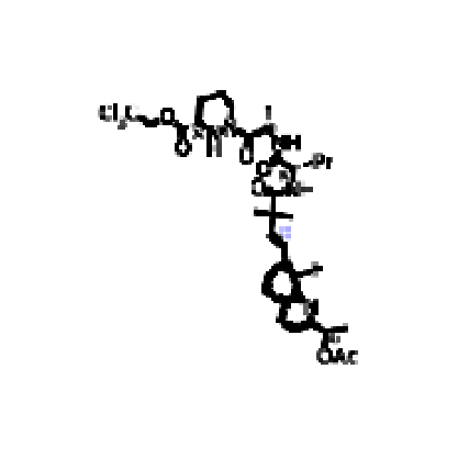 CC(=O)O[C@H](C)c1ccc2ccc(/C=C/C(C)(C)C(=O)N[C@H](C(=O)N[C@@H](C)C(=O)N3CCC[C@@H](C(=O)OCC(Cl)(Cl)Cl)N3)C(C)C)c(F)c2n1